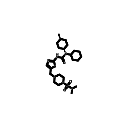 CN(C)S(=O)(=O)N1CCN(Cc2cnc(NC(=O)N(C3CCCCC3)[C@H]3CC[C@H](C)CC3)s2)CC1